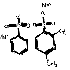 Cc1ccc(S(=O)(=O)[O-])c(C)c1.O=S(=O)([O-])c1ccccc1.[Na+].[Na+]